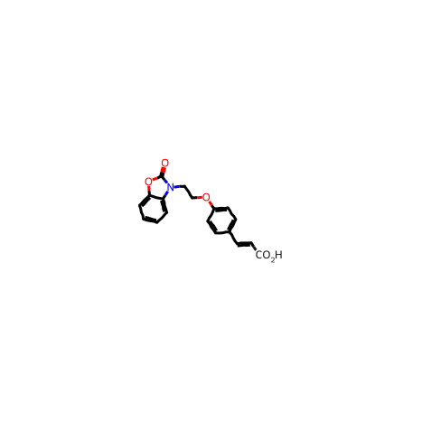 O=C(O)/C=C/c1ccc(OCCn2c(=O)oc3ccccc32)cc1